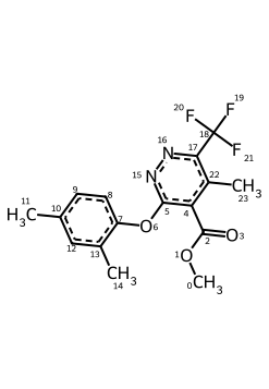 COC(=O)c1c(Oc2ccc(C)cc2C)nnc(C(F)(F)F)c1C